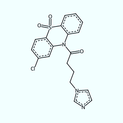 O=C(CCCn1ccnc1)N1c2ccccc2S(=O)(=O)c2ccc(Cl)cc21